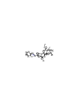 CCOC(=O)C1=C(C)NC(=S)NC1c1ccc(OC(=O)/C=C/c2ccncc2)c(OC)c1